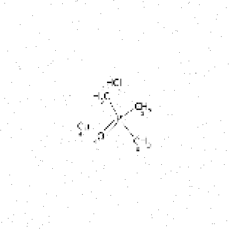 CP(C)(C)=O.Cl.[Cu]